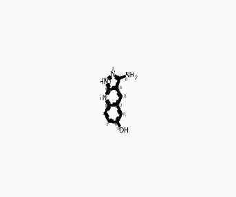 Nc1n[nH]c2nc3ccc(O)cc3cc12